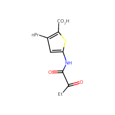 CCCc1cc(NC(=O)C(=O)CC)sc1C(=O)O